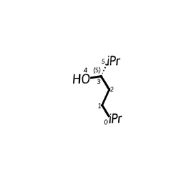 CC(C)CC[C@H](O)C(C)C